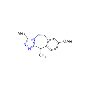 C=C1c2ccc(OC)cc2C=Cn2c(SC)nnc21